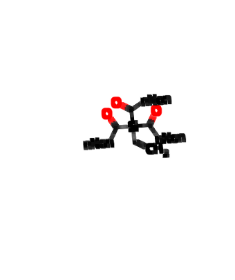 C=C[Si](C(=O)CCCCCCCCC)(C(=O)CCCCCCCCC)C(=O)CCCCCCCCC